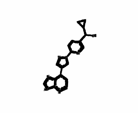 N#CC(c1ccc(-n2cc(-c3ccnc4[nH]cnc34)cn2)nc1)C1CC1